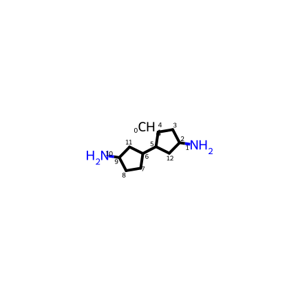 C.NC1CCC(C2CCC(N)C2)C1